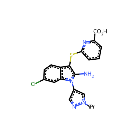 CC(C)n1cc(-n2c(N)c(Sc3cccc(C(=O)O)n3)c3ccc(Cl)cc32)cn1